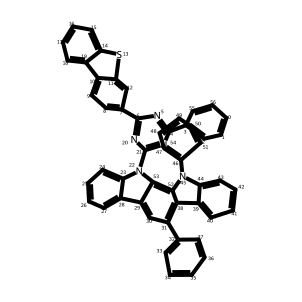 c1ccc(-c2nc(-c3ccc4c(c3)sc3ccccc34)nc(-n3c4ccccc4c4cc(-c5ccccc5)c5c6ccccc6n(-c6ccccc6)c5c43)n2)cc1